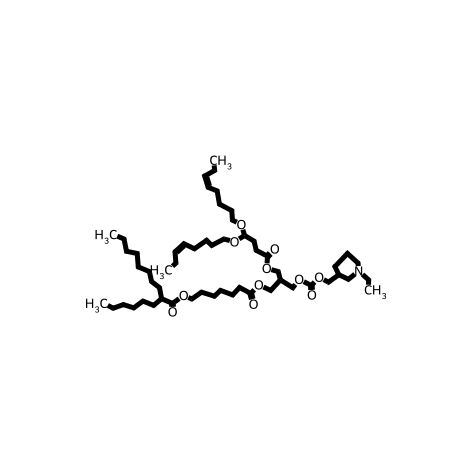 CC/C=C\CCCCOC(CCC(=O)OCC(COC(=O)CCCCCCOC(=O)C(CCCCCC)CCCCCCCC)COC(=O)OCC1CCCN(CC)C1)OCCCC/C=C\CC